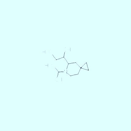 CCC(C)C1CC2(CCN1C(C)C)CC2